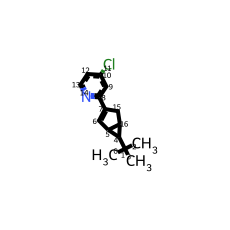 CC(C)(C)C1C2C=C(c3cc(Cl)ccn3)CC21